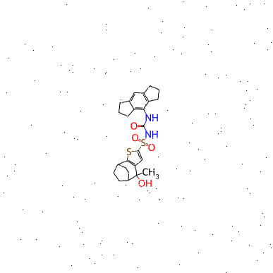 CC1(O)c2cc(S(=O)(=O)NC(=O)Nc3c4c(cc5c3CCC5)CCC4)sc2C2CCC1CC2